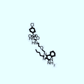 CCCCc1nc2c(N)nc3ccccc3c2n1CCOCCNC(=O)NS(=O)(=O)c1ccc(Cl)cc1